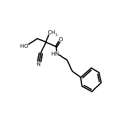 CC(C#N)(CO)C(=O)NCCc1ccccc1